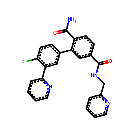 NC(=O)c1ccc(C(=O)NCc2ccccn2)cc1-c1ccc(Cl)c(-c2ccccn2)c1